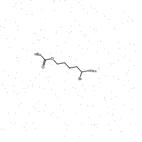 CCCCCCC(Br)CCCCOC(=O)CCCC